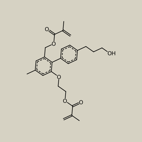 C=C(C)C(=O)OCCOc1cc(C)cc(COC(=O)C(=C)C)c1-c1ccc(CCCO)cc1